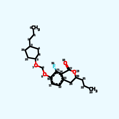 CCCC1CCC(OCOc2ccc3c(c2F)C(=O)OC(CCC)C3)CC1